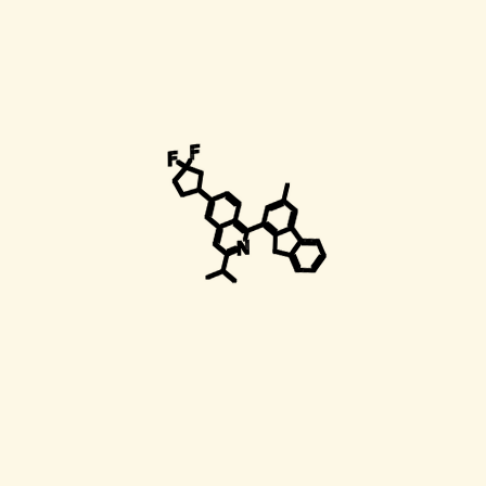 Cc1cc2c(c(-c3nc(C(C)C)cc4cc(C5CCC(F)(F)C5)ccc34)c1)Cc1ccccc1-2